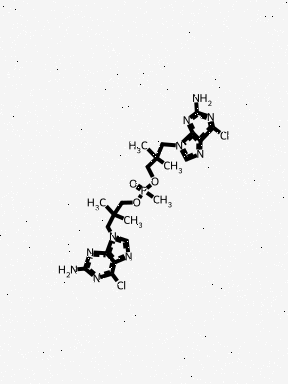 CC(C)(COP(C)(=O)OCC(C)(C)Cn1cnc2c(Cl)nc(N)nc21)Cn1cnc2c(Cl)nc(N)nc21